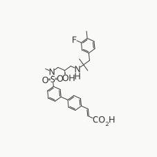 Cc1ccc(CC(C)(C)NC[C@@H](O)CN(C)S(=O)(=O)c2cccc(-c3ccc(/C=C/C(=O)O)cc3)c2)cc1F